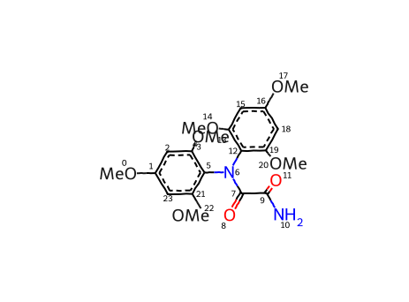 COc1cc(OC)c(N(C(=O)C(N)=O)c2c(OC)cc(OC)cc2OC)c(OC)c1